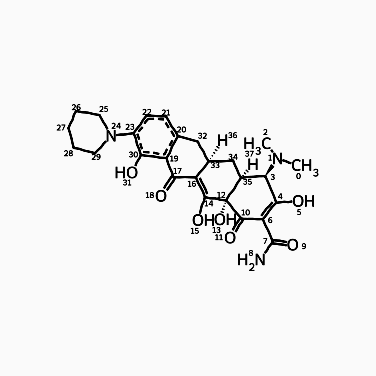 CN(C)[C@H]1C(O)=C(C(N)=O)C(=O)[C@@]2(O)C(O)=C3C(=O)c4c(ccc(N5CCCCC5)c4O)C[C@H]3C[C@@H]12